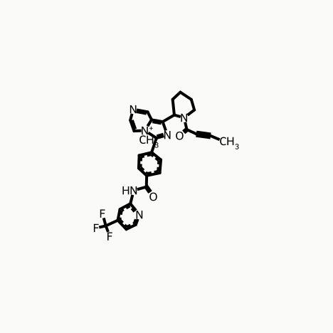 CC#CC(=O)N1CCCCC1C1=C2C=NC=C[N+]2(C)C(c2ccc(C(=O)Nc3cc(C(F)(F)F)ccn3)cc2)=N1